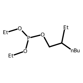 CCCCC(CC)COP(OCC)OCC